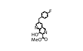 COC(=O)c1ncc2cc(Cc3ccc(F)cc3)cnc2c1O